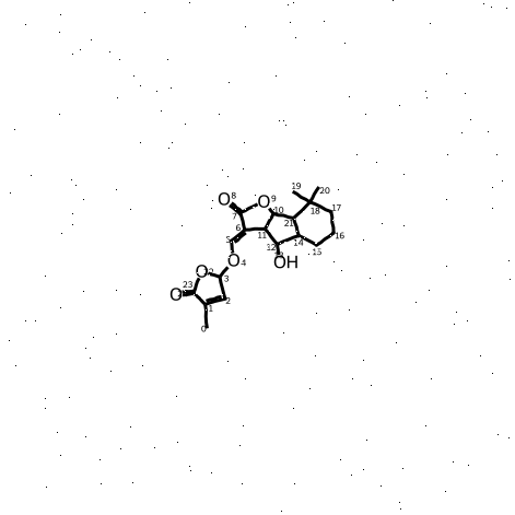 CC1=CC(O/C=C2/C(=O)OC3C2C(O)C2CCCC(C)(C)C23)OC1=O